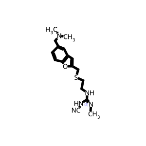 C/N=C(\NC#N)NCCSCc1cc2cc(CN(C)C)ccc2o1